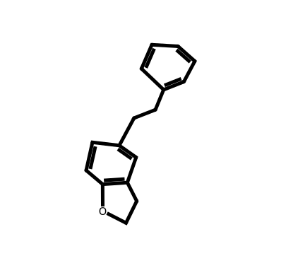 c1ccc(CCc2ccc3c(c2)CCO3)cc1